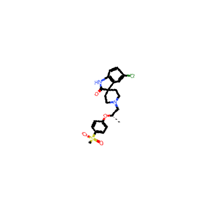 C[C@@H](CN1CCC2(CC1)C(=O)Nc1ccc(Cl)cc12)Oc1ccc(S(C)(=O)=O)cc1